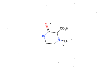 C[C]N1CCNC(=O)C1C(=O)O